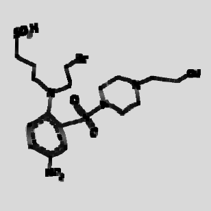 O=[N+]([O-])c1ccc(N(CCBr)CCCS(=O)(=O)O)c(S(=O)(=O)N2CCN(CCO)CC2)c1